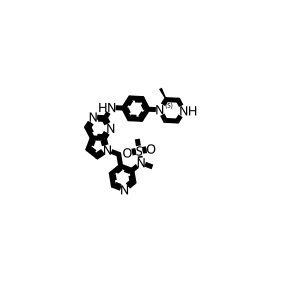 C[C@H]1CNCCN1c1ccc(Nc2ncc3ccn(Cc4ccncc4N(C)S(C)(=O)=O)c3n2)cc1